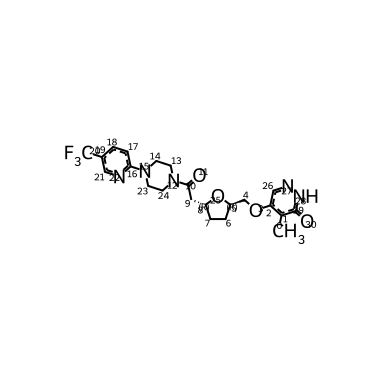 Cc1c(OC[C@H]2CC[C@H](CC(=O)N3CCN(c4ccc(C(F)(F)F)cn4)CC3)O2)cn[nH]c1=O